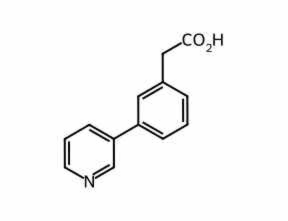 O=C(O)Cc1cccc(-c2cccnc2)c1